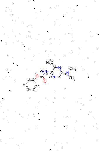 Cc1nc(N(C)C)cnc1NC(=O)Oc1ccccc1